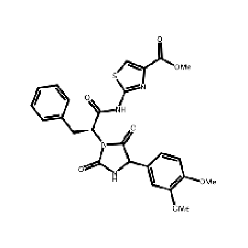 COC(=O)c1csc(NC(=O)[C@H](Cc2ccccc2)N2C(=O)NC(c3ccc(OC)c(OC)c3)C2=O)n1